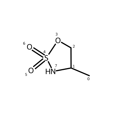 CC1COS(=O)(=O)N1